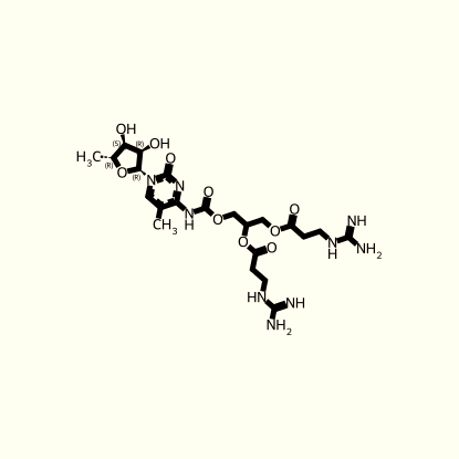 Cc1cn([C@@H]2O[C@H](C)[C@@H](O)[C@H]2O)c(=O)nc1NC(=O)OCC(COC(=O)CCNC(=N)N)OC(=O)CCNC(=N)N